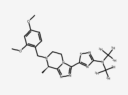 [2H]C([2H])([2H])N(c1nsc(-c2nnc3n2CCN(Cc2ccc(OC)cc2OC)[C@@H]3C)n1)C([2H])([2H])[2H]